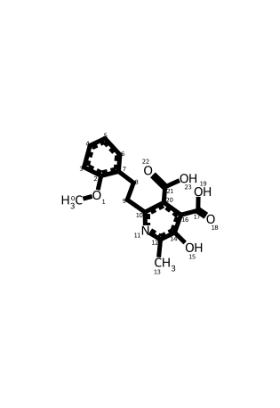 COc1ccccc1CCc1nc(C)c(O)c(C(=O)O)c1C(=O)O